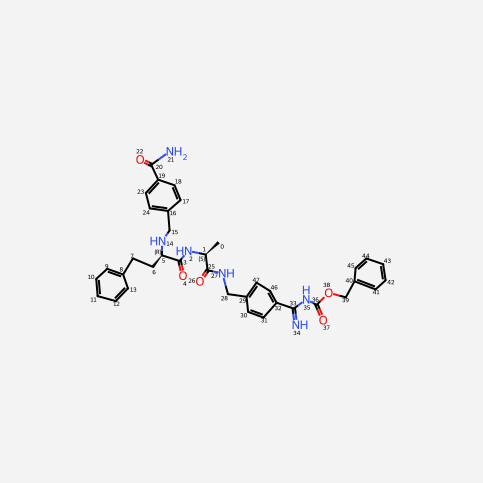 C[C@H](NC(=O)[C@@H](CCc1ccccc1)NCc1ccc(C(N)=O)cc1)C(=O)NCc1ccc(C(=N)NC(=O)OCc2ccccc2)cc1